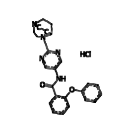 Cl.O=C(Nc1cnc(N2CCN3CCC2CC3)nc1)c1ccccc1Oc1ccccc1